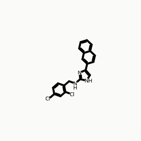 Clc1ccc(CNc2nc(-c3ccc4ccccc4c3)c[nH]2)c(Cl)c1